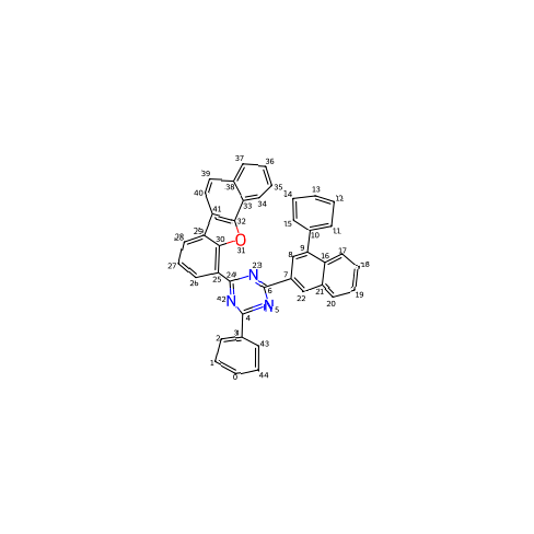 c1ccc(-c2nc(-c3cc(-c4ccccc4)c4ccccc4c3)nc(-c3cccc4c3oc3c5ccccc5ccc43)n2)cc1